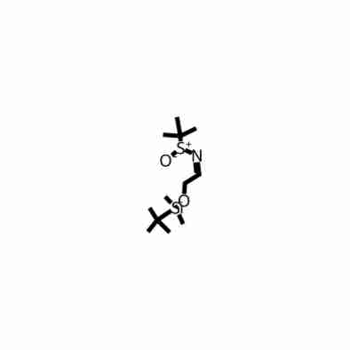 CC(C)(C)[S+]([O-])/N=C\CO[Si](C)(C)C(C)(C)C